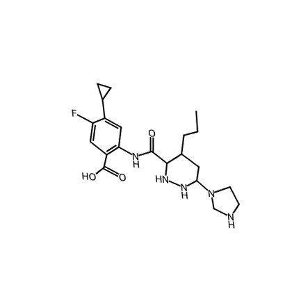 CCCC1CC(N2CCNC2)NNC1C(=O)Nc1cc(C2CC2)c(F)cc1C(=O)O